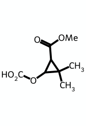 COC(=O)C1C(OC(=O)O)C1(C)C